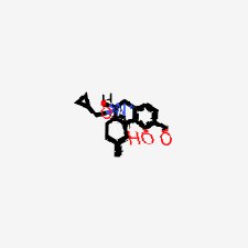 C=C1CC[C@@]2(OC)[C@H]3Cc4ccc(C=O)c(O)c4[C@@]2(CC[N+]3(C)CC2CC2)C1